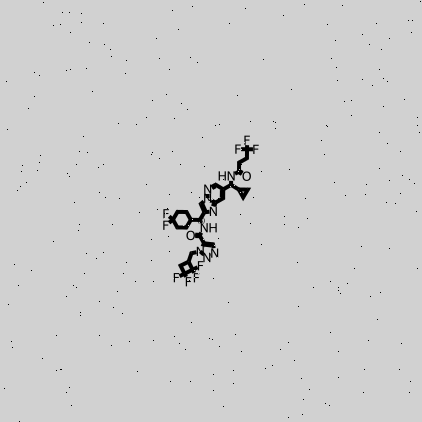 O=C(CCC(F)(F)F)NC(c1cnn2cc([C@@H](NC(=O)c3cnnn3CC3CC(F)(F)C3(F)F)C3CCC(F)(F)CC3)nc2c1)C1CC1